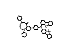 C=C1/C=C(c2ccccc2)\C=C/CN(c2ccccc2)c2ccc(-c3ccc(N(c4ccc5c(c4)C(C)(C)c4ccccc4-5)c4cccc5c4oc4ccccc45)cc3)cc21